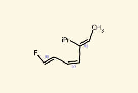 C/C=C(/C=C\C=C\F)C(C)C